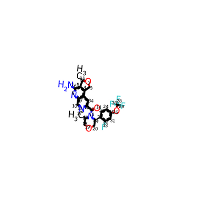 C[C@@H]1OCc2c1c(N)nc1cnc(C(=O)N3[C@H](C)COC[C@@H]3c3ccc(OC(F)(F)F)cc3F)cc21